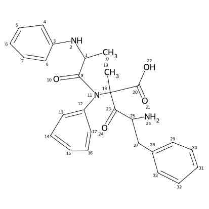 CC(Nc1ccccc1)C(=O)N(c1ccccc1)C(C)(C(=O)O)C(=O)C(N)Cc1ccccc1